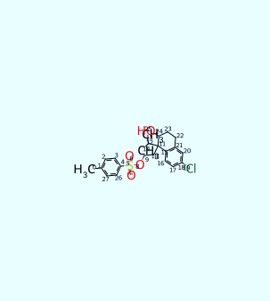 Cc1ccc(S(=O)(=O)OCCC2(C(C)C)c3ccc(Cl)cc3CCC2O)cc1